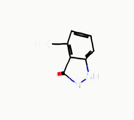 Cc1cccc2c1C(=O)[N]N2